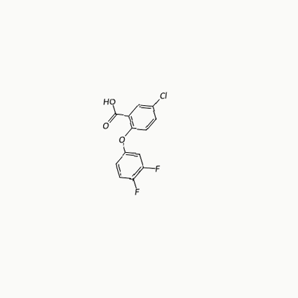 O=C(O)c1cc(Cl)ccc1Oc1ccc(F)c(F)c1